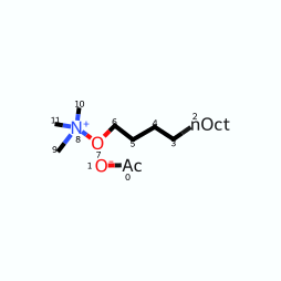 CC(=O)[O-].CCCCCCCCCCCCO[N+](C)(C)C